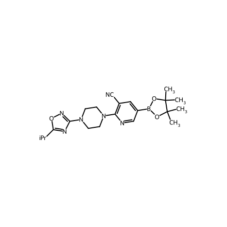 CC(C)c1nc(N2CCN(c3ncc(B4OC(C)(C)C(C)(C)O4)cc3C#N)CC2)no1